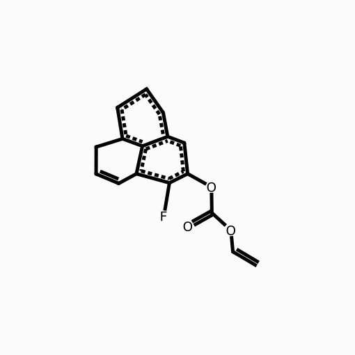 C=COC(=O)Oc1cc2cccc3c2c(c1F)C=CC3